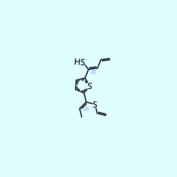 C=C/C=C(\S)c1ccc(/C(=C/C)SC=C)s1